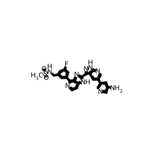 CS(=O)(=O)NCc1cc(F)cc(-c2nccc3[nH]c(-c4n[nH]c5ncc(-c6cncc(N)c6)cc45)nc23)c1